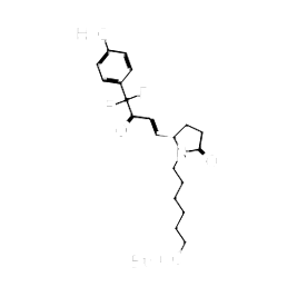 CCOC(=O)CCCCCCN1C(=O)CC[C@@H]1/C=C/C(=O)C(F)(F)c1ccc(C)cc1